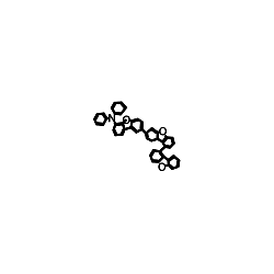 C1=C(c2ccc3oc4c(N(c5ccccc5)c5ccccc5)cccc4c3c2)C=C2Oc3cccc(-c4cccc5oc6ccccc6c45)c3C2C1